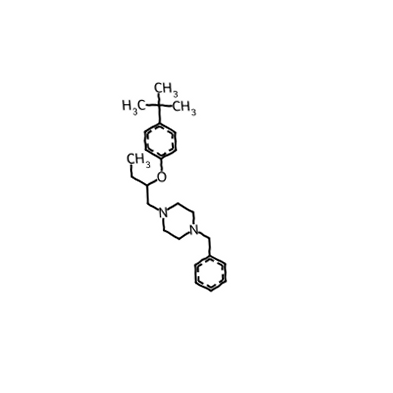 CCC(CN1CCN(Cc2ccccc2)CC1)Oc1ccc(C(C)(C)C)cc1